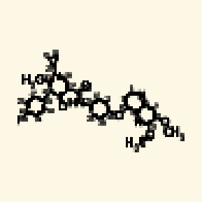 COc1cc2nccc(Oc3ccc(NC(=O)c4cn(C5CC5)c(C)c(-c5ccc(F)cc5)c4=O)cc3)c2nc1OC